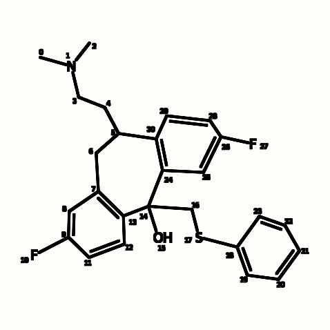 CN(C)CCC1Cc2cc(F)ccc2C(O)(CSc2ccccc2)c2cc(F)ccc21